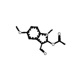 COc1ccc2c(c1)c(C=O)c(OC(C)=O)n2C